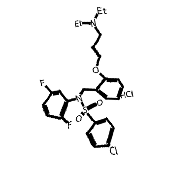 CCN(CC)CCCOc1ccccc1CN(c1cc(F)ccc1F)S(=O)(=O)c1ccc(Cl)cc1.Cl